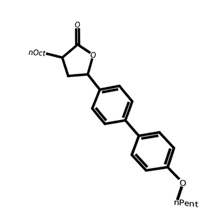 CCCCCCCCC1CC(c2ccc(-c3ccc(OCCCCC)cc3)cc2)OC1=O